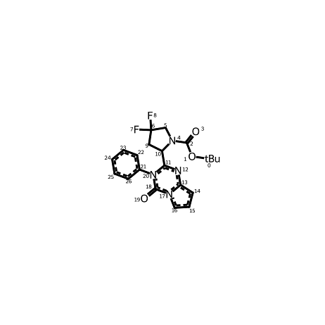 CC(C)(C)OC(=O)N1CC(F)(F)CC1c1nc2cccn2c(=O)n1-c1ccccc1